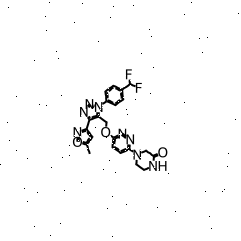 Cc1cc(-c2nnn(-c3ccc(C(F)F)cc3)c2COc2ccc(N3CCNC(=O)C3)nn2)no1